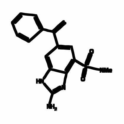 C=C(c1ccccc1)c1cc(S(=O)(=O)NC)c2nc(N)[nH]c2c1